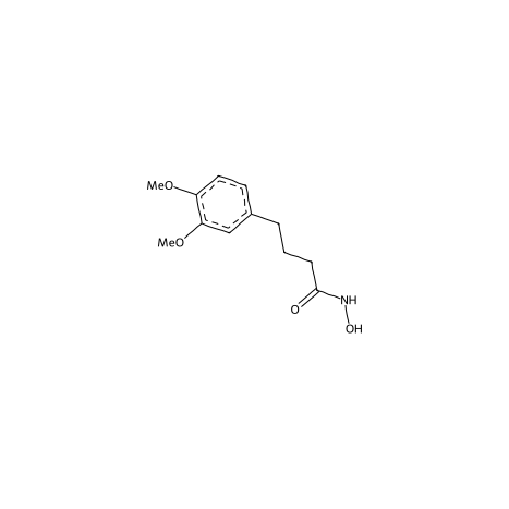 COc1ccc(CCCC(=O)NO)cc1OC